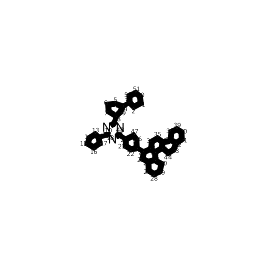 c1ccc(-c2cccc(-c3nc(-c4ccccc4)nc(-c4ccc(-c5cc6ccccc6c6c5ccc5c7ccccc7ccc56)cc4)n3)c2)cc1